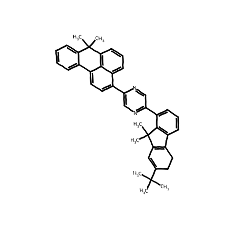 CC(C)(C)C1=CC2=C(CC1)c1cccc(-c3cnc(-c4ccc5c6c(cccc46)C(C)(C)c4ccccc4-5)cn3)c1C2(C)C